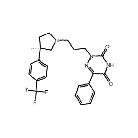 C[C@]1(c2ccc(C(F)(F)F)cc2)CCN(CCCn2nc(-c3ccccc3)c(=O)[nH]c2=O)C1